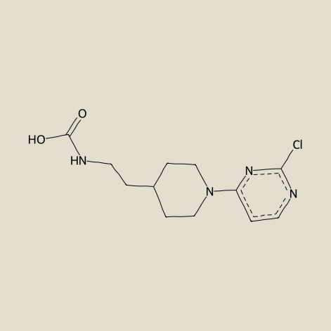 O=C(O)NCCC1CCN(c2ccnc(Cl)n2)CC1